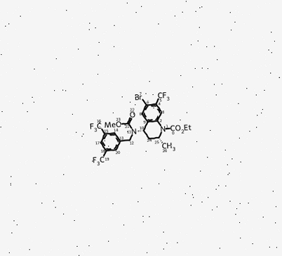 CCOC(=O)N1c2cc(C(F)(F)F)c(Br)cc2[C@@H](N(Cc2cc(C(F)(F)F)cc(C(F)(F)F)c2)C(=O)OC)C[C@H]1C